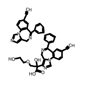 C#Cc1ccc2c(c1)C(c1ccccc1)=NCc1c(C(O)(COCCO)C(=O)O)ncn1-2.C#Cc1ccc2c(c1)C(c1ccccc1)=NCc1cncn1-2